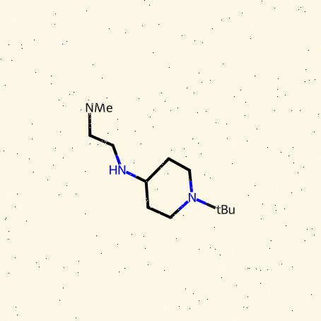 CNCCNC1CCN(C(C)(C)C)CC1